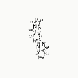 c1ccc2nc(-c3ccc(Cn4cccc4)cc3)ncc2c1